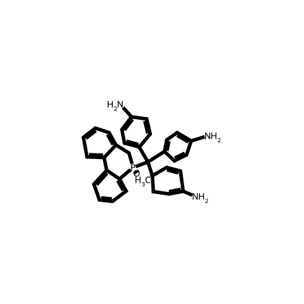 CC1(C(c2ccc(N)cc2)(c2ccc(N)cc2)P2(=O)Cc3ccccc3-c3ccccc32)C=CC(N)=CC1